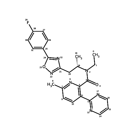 CCN(C(=O)c1nc(C)ccc1-c1ncccn1)[C@@H](C)Cc1noc(-c2ccc(F)cc2)n1